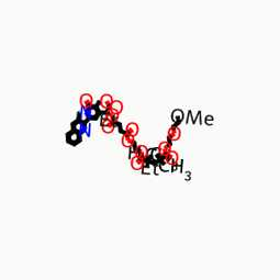 CCC(C)(CC(C)(C)C(=O)OCCOCCOC)C(=O)OCCOC(=O)CCC(=O)O[C@]1(CC)C(=O)OCc2c1cc1n(c2=O)Cc2cc3ccccc3nc2-1